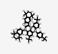 CC(C)(C)c1ccc(N2c3ccc(C(C)(C)C)cc3B3c4c2cc(C(C)(C)C)cc4N(c2ccc4c(c2)C(C)(C)CCC4(C)C)c2oc4cc5c(cc4c23)C(C)(C)CCC5(C)C)cc1